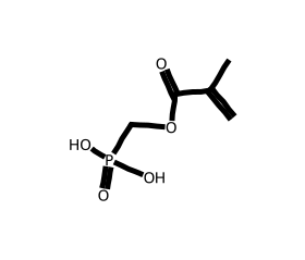 C=C(C)C(=O)OCP(=O)(O)O